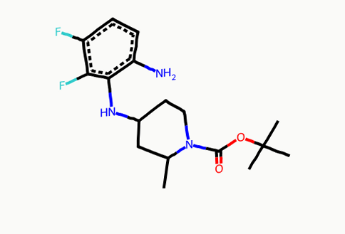 CC1CC(Nc2c(N)ccc(F)c2F)CCN1C(=O)OC(C)(C)C